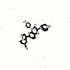 N#Cc1ccn2ncc(-c3ccc4nc(N5CC6CC5CN6)c(=O)n([C@H]5CC[C@H](O)CC5)c4n3)c2c1